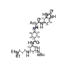 CCCCNc1cc(NCCCN(CC)CC)cc(NC(=O)c2ccc(/N=N/C(C(C)=O)C(=O)Nc3ccc4[nH]c(=O)[nH]c4c3)cc2)c1